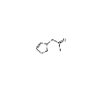 O=C(I)CC1C=CCC1